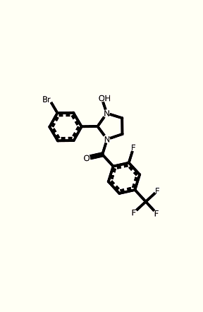 O=C(c1ccc(C(F)(F)F)cc1F)N1CCN(O)C1c1cccc(Br)c1